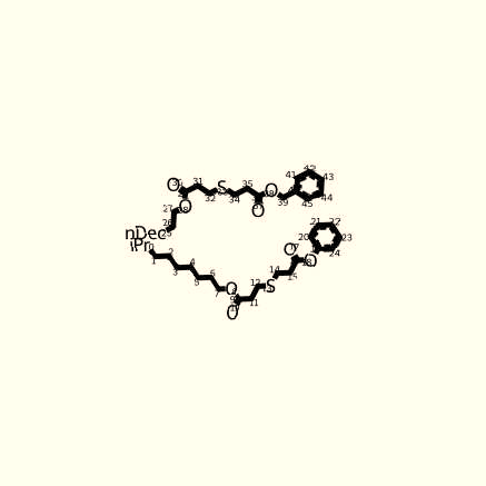 CC(C)CCCCCCCOC(=O)CCSCCC(=O)Oc1ccccc1.CCCCCCCCCCCCOC(=O)CCSCCC(=O)OCc1ccccc1